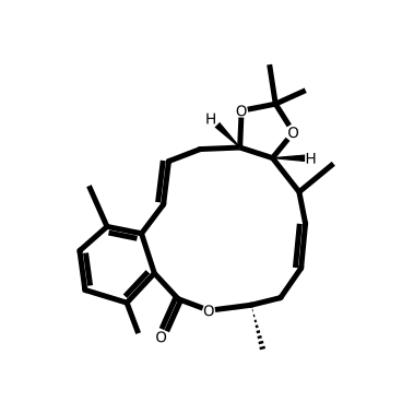 Cc1ccc(C)c2c1/C=C/C[C@@H]1OC(C)(C)O[C@@H]1C(C)/C=C\C[C@H](C)OC2=O